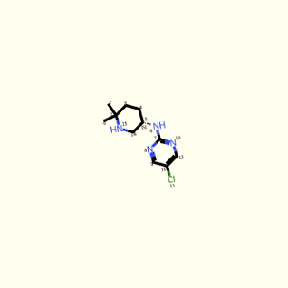 CC1(C)CC[C@H](Nc2ncc(Cl)cn2)CN1